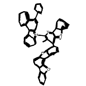 Cc1c(-n2c3ccccc3c3c4ccccc4c(-c4ccccc4)cc32)nc2c(oc3ccccc32)c1-c1cccc2c1oc1ccc3c4ccccc4oc3c12